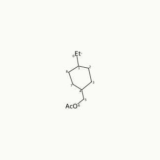 C[CH]C1CCC(COC(C)=O)CC1